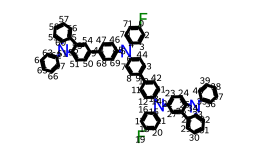 Fc1ccc(N(c2ccc(-c3ccc(N(c4ccc(F)cc4)c4ccc5c(c4)c4ccccc4n5-c4ccccc4)cc3)cc2)c2ccc(-c3ccc4c(c3)c3ccccc3n4-c3ccccc3)cc2)cc1